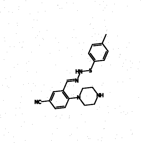 Cc1ccc(SN/N=C/c2cc(C#N)ccc2N2CCNCC2)cc1